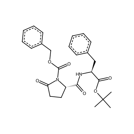 CC(C)(C)OC(=O)[C@H](Cc1ccccc1)NC(=O)[C@@H]1CCC(=O)N1C(=O)OCc1ccccc1